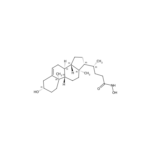 C[C@H](CCC(=O)NO)[C@H]1CC[C@H]2[C@@H]3CC=C4C[C@@H](O)CC[C@]4(C)[C@H]3CC[C@]12C